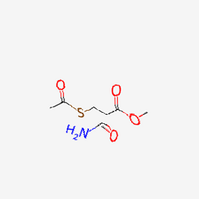 COC(=O)CCSC(C)=O.NC=O